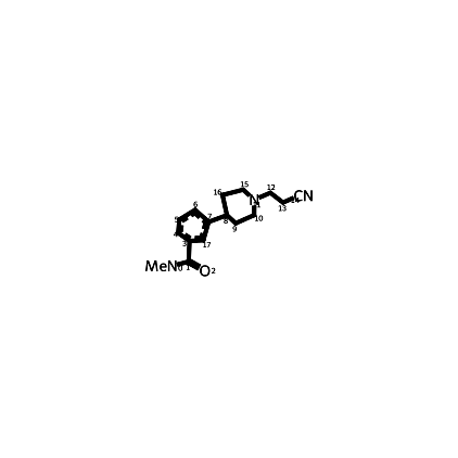 CNC(=O)c1cccc(C2CCN(CCC#N)CC2)c1